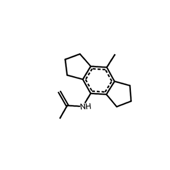 C=C(C)Nc1c2c(c(C)c3c1CCC3)CCC2